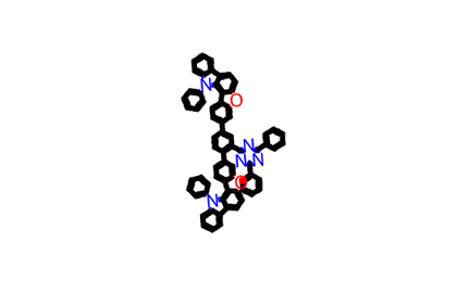 c1ccc(-c2nc(-c3ccccc3)nc(-c3cc(-c4ccc5c(c4)oc4ccc6c7ccccc7n(-c7ccccc7)c6c45)ccc3-c3ccc4c(c3)oc3ccc5c6ccccc6n(-c6ccccc6)c5c34)n2)cc1